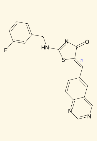 O=C1N=C(NCc2cccc(F)c2)S/C1=C\c1ccc2ncncc2c1